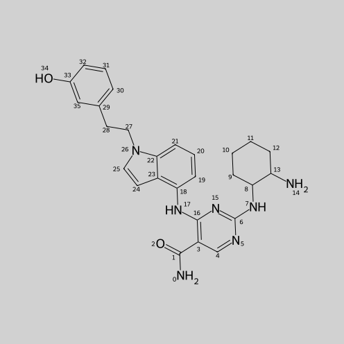 NC(=O)c1cnc(NC2CCCCC2N)nc1Nc1cccc2c1ccn2CCc1cccc(O)c1